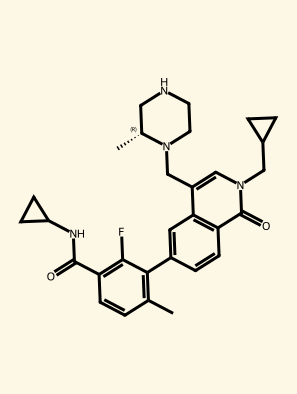 Cc1ccc(C(=O)NC2CC2)c(F)c1-c1ccc2c(=O)n(CC3CC3)cc(CN3CCNC[C@H]3C)c2c1